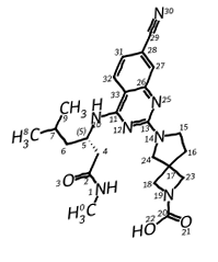 CNC(=O)C[C@H](CC(C)C)Nc1nc(N2CCC3(CN(C(=O)O)C3)C2)nc2cc(C#N)ccc12